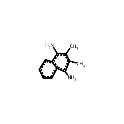 Cc1c(C)c(N)c2ccccc2c1N